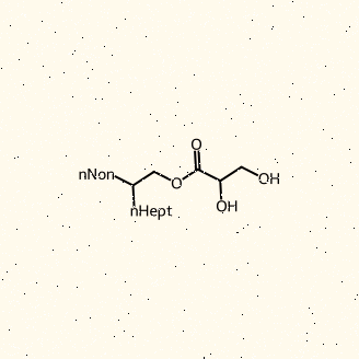 CCCCCCCCCC(CCCCCCC)COC(=O)C(O)CO